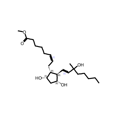 CCCCCC(C)(O)/C=C/[C@@H]1[C@@H](C/C=C\CCCCC(=O)OC)[C@@H](O)C[C@H]1O